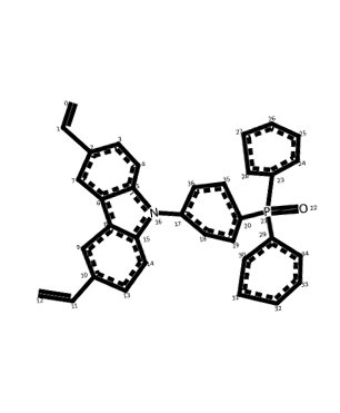 C=Cc1ccc2c(c1)c1cc(C=C)ccc1n2-c1ccc(P(=O)(c2ccccc2)c2ccccc2)cc1